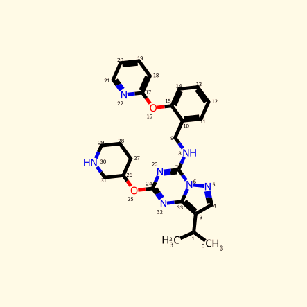 CC(C)c1cnn2c(NCc3ccccc3Oc3ccccn3)nc(OC3CCCNC3)nc12